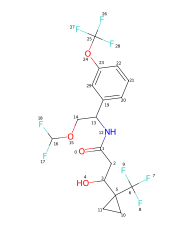 O=C(CC(O)C1(C(F)(F)F)CC1)NC(COC(F)F)c1cccc(OC(F)(F)F)c1